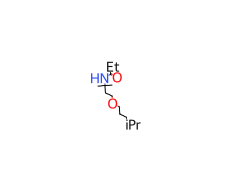 CCC(=O)NC(C)(C)CCOCCCC(C)C